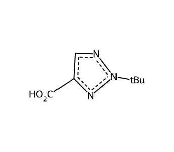 CC(C)(C)n1ncc(C(=O)O)n1